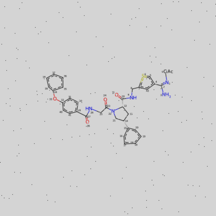 CC(=O)O/N=C(/N)c1csc(CNC(=O)[C@@H]2C[C@H](c3ccccc3)CN2C(=O)CNC(=O)c2ccc(Oc3ccccc3)cc2)c1